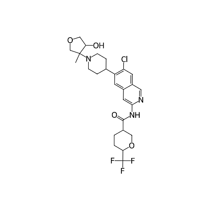 CC1(N2CCC(c3cc4cc(NC(=O)C5CCC(C(F)(F)F)OC5)ncc4cc3Cl)CC2)COCC1O